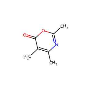 Cc1nc(C)c(C)c(=O)o1